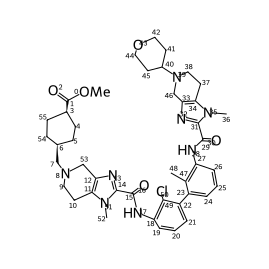 COC(=O)[C@H]1CC[C@@H](CN2CCc3c(nc(C(=O)Nc4cccc(-c5cccc(NC(=O)c6nc7c(n6C)CCN(C6CCOCC6)C7)c5C)c4Cl)n3C)C2)CC1